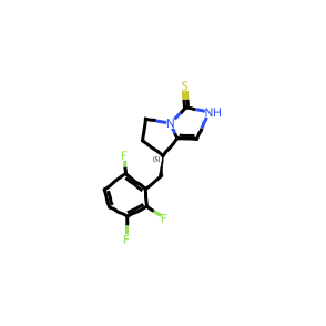 Fc1ccc(F)c(C[C@H]2CCn3c2c[nH]c3=S)c1F